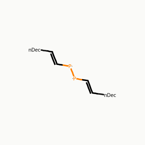 CCCCCCCCCCC=C[P][P]C=CCCCCCCCCCC